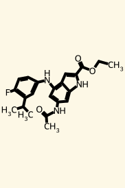 CCOC(=O)c1cc2c(Nc3ccc(F)c(C(C)C)c3)cc(NC(C)=O)cc2[nH]1